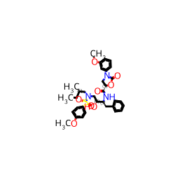 CC[C@H](C)CN(C[C@@H](O)[C@H](Cc1ccccc1)NC(=O)[C@@H]1CN(c2cccc(OC)c2)C(=O)O1)S(=O)(=O)c1ccc(OC)cc1